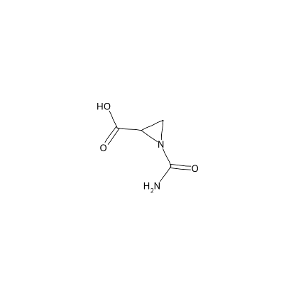 NC(=O)N1CC1C(=O)O